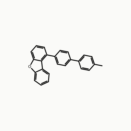 Cc1ccc(-c2ccc(-c3cccc4oc5ccccc5c34)cc2)cc1